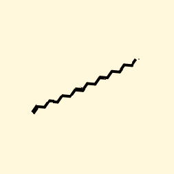 [CH2]CCCCCCCCC=CCCCCCC=C